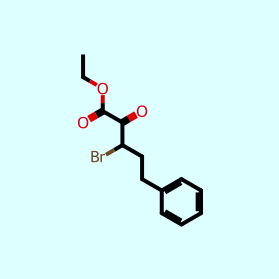 CCOC(=O)C(=O)C(Br)CCc1ccccc1